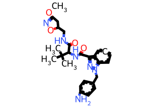 COC1=NOC(CNC(=O)C(NC(=O)c2nn(Cc3ccc(N)cc3)c3ccccc23)C(C)(C)C)C1